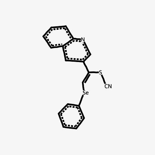 N#CSC(=C[Se]c1ccccc1)c1cnc2ccccc2c1